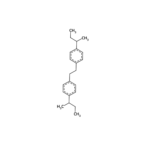 CCC(C)c1ccc(CCc2ccc(C(C)CC)cc2)cc1